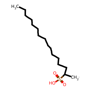 [CH2]C(CCCCCCCCCCCCCC)S(=O)(=O)O